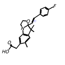 Cc1cc2c(cc1CC(=O)O)N1CCOC1(/C=C/c1ccc(F)cc1)C2(C)C